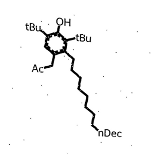 CCCCCCCCCCCCCCCCCCc1c(CC(C)=O)cc(C(C)(C)C)c(O)c1C(C)(C)C